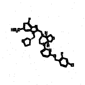 O=C(O)c1cc(F)c2nc(CN3CCN(c4cccc(OCc5ccc(Cl)cc5F)n4)[C@H]4COC[C@H]43)n(C[C@@H]3CCOC3)c2c1